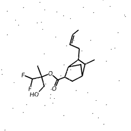 C/C=C\CC1C(C)C2CC(C(=O)OC(C)(CO)C(F)F)C1C2